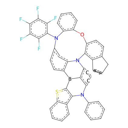 Fc1c(F)c(F)c(N2c3ccc4c(c3)N(c3cccc5c3B4c3sc4ccccc4c3N5c3ccccc3)c3c(ccc4c3-c3ccccc3C4)Oc3ccccc32)c(F)c1F